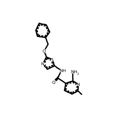 Cc1ccc(C(=O)Nc2cnc(OCc3ccccc3)s2)c(N)n1